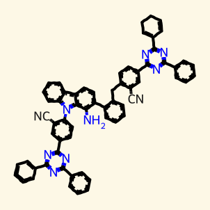 N#Cc1cc(-c2nc(C3=CCCC=C3)nc(-c3ccccc3)n2)ccc1Cc1ccccc1-c1ccc2c3ccccc3n(-c3ccc(-c4nc(C5=CC=C=C=C5)nc(-c5ccccc5)n4)cc3C#N)c2c1N